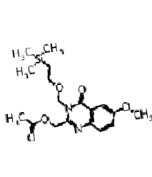 COc1ccc2nc(COC(C)=O)n(COCC[Si](C)(C)C)c(=O)c2c1